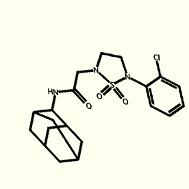 O=C(CN1CCN(c2ccccc2Cl)S1(=O)=O)NC1C2CC3CC(C2)CC1C3